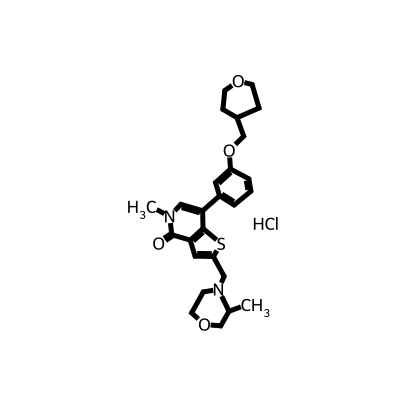 CC1COCCN1Cc1cc2c(=O)n(C)cc(-c3cccc(OCC4CCOCC4)c3)c2s1.Cl